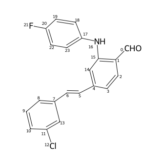 O=Cc1ccc(/C=C/c2cccc(Cl)c2)cc1Nc1ccc(F)cc1